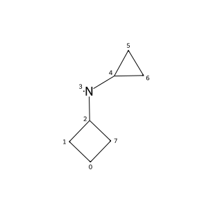 C1CC([N]C2CC2)C1